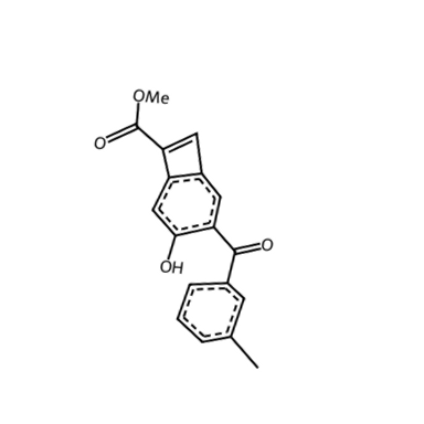 COC(=O)C1=Cc2cc(C(=O)c3cccc(C)c3)c(O)cc21